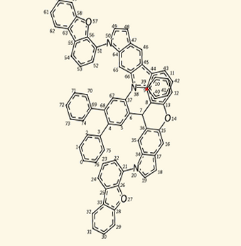 c1ccc(-c2cc(C3c4ccccc4Oc4cc5ccn(-c6cccc7c6oc6ccccc67)c5cc43)c(-n3c4ccccc4c4cc5ccn(-c6cccc7c6oc6ccccc67)c5cc43)cc2-c2ccccc2)cc1